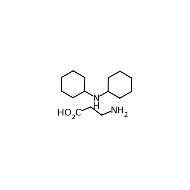 C1CCC(NC2CCCCC2)CC1.NCCC(=O)O